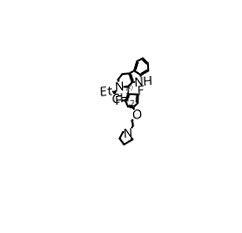 C=C(CC)N1CCc2c([nH]c3ccccc23)[C@H]1c1c(F)cc(OCCN2CCCC2)cc1F